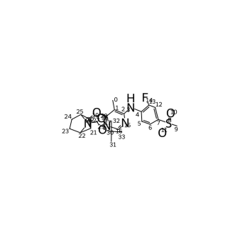 Cc1c(Nc2ccc(S(C)(=O)=O)cc2F)ncnc1OC1CC2CCC1N2C(=O)OC(C)(C)C